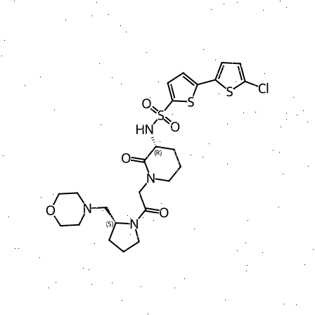 O=C1[C@H](NS(=O)(=O)c2ccc(-c3ccc(Cl)s3)s2)CCCN1CC(=O)N1CCC[C@H]1CN1CCOCC1